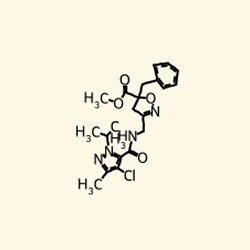 COC(=O)C1(Cc2ccccc2)CC(CNC(=O)c2c(Cl)c(C)nn2C(C)C)=NO1